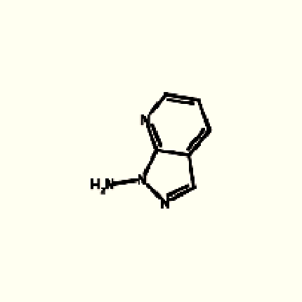 Nn1ncc2cccnc21